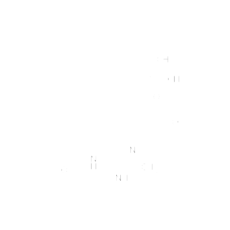 CN1CC(=O)OC(C)(C)CCCCCCCCCC(=O)NC1=N